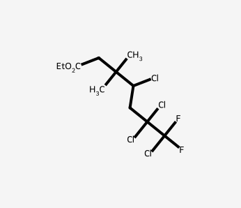 CCOC(=O)CC(C)(C)C(Cl)CC(Cl)(Cl)C(F)(F)Cl